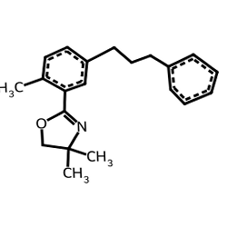 Cc1ccc(CCCc2ccccc2)cc1C1=NC(C)(C)CO1